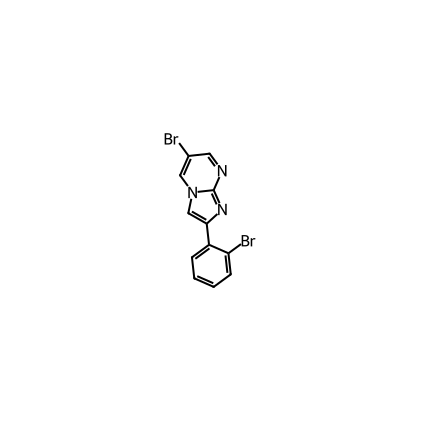 Brc1cnc2nc(-c3ccccc3Br)cn2c1